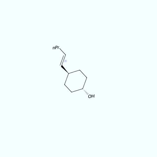 CCC/C=C/[C@H]1CC[C@H](O)CC1